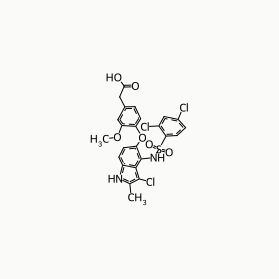 COc1cc(CC(=O)O)ccc1Oc1ccc2[nH]c(C)c(Cl)c2c1NS(=O)(=O)c1ccc(Cl)cc1Cl